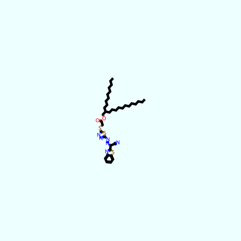 CCCCCCCCCCCCC(CCCCCCCCCC)COC(=O)CSc1nnc(N=NC(C#N)c2nc3ccccc3s2)s1